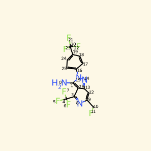 Nc1c2c(C(F)(F)F)nc(CF)cc2nn1-c1ccc(C(F)(F)F)cc1